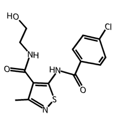 Cc1nsc(NC(=O)c2ccc(Cl)cc2)c1C(=O)NCCO